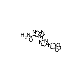 NC(=O)c1cn2c(-c3nccc(N4CCC5(CC4)OCCO5)n3)cnc2cn1